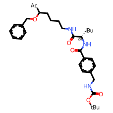 CCC(C)[C@H](NC(=O)c1ccc(CNC(=O)OC(C)(C)C)cc1)C(=O)NCCCCC(OCc1ccccc1)C(C)=O